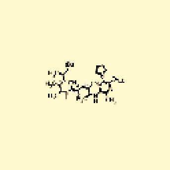 C=C(CC(C)(C)C)NC(C)C(C)N/C(C)=C(F)/C=C(/C#N)C(=C)Nc1cc(-n2cccc2)c(OCC)nc1C